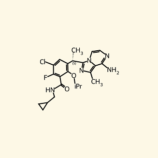 Cc1nc([C@@H](C)c2cc(Cl)c(F)c(C(=O)NCC3CC3)c2OC(C)C)n2ccnc(N)c12